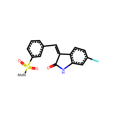 CNS(=O)(=O)c1cccc(C=C2C(=O)Nc3cc(F)ccc32)c1